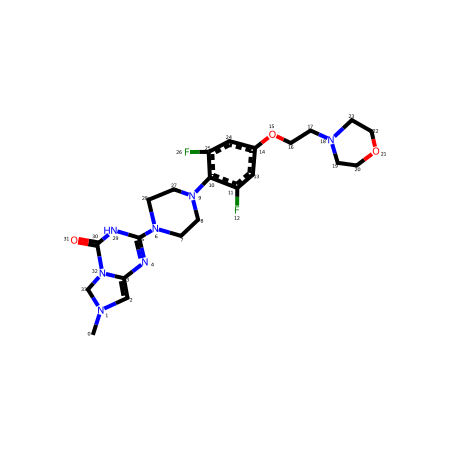 CN1C=C2N=C(N3CCN(c4c(F)cc(OCCN5CCOCC5)cc4F)CC3)NC(=O)N2C1